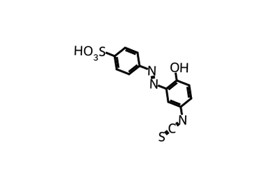 O=S(=O)(O)c1ccc(N=Nc2cc(N=C=S)ccc2O)cc1